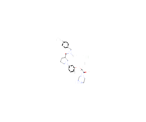 CC(C)c1ccc(CN(C(=O)C2CCCN(c3cccc(OC(C)(C)C(=O)N4CCNCC4)c3)C2)C(C)C)cc1.Cl